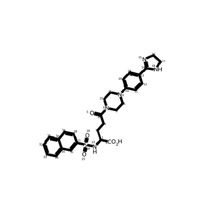 O=C(O)C(CCC(=O)N1CCN(c2ccc(C3=NCCN3)cc2)CC1)NS(=O)(=O)c1ccc2ccccc2c1